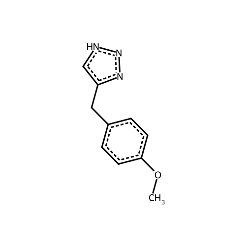 COc1ccc(Cc2c[nH]nn2)cc1